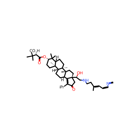 C=N/C=C\C=C(/C)CCNC[C@H](O)[C@@]12CC[C@]3(C)[C@H](CC[C@@H]4[C@@]5(C)CC[C@H](OC(=O)CC(C)(C)C(=O)O)C(C)(C)[C@@H]5CC[C@]43C)C1=C(C(C)C)C(=O)C2